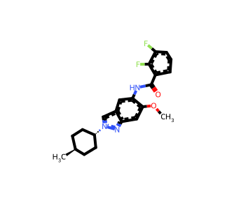 COc1cc2nn([C@H]3CC[C@H](C)CC3)cc2cc1NC(=O)c1cccc(F)c1F